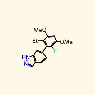 CCc1c(OC)cc(OC)c(F)c1-c1ccc2cn[nH]c2c1